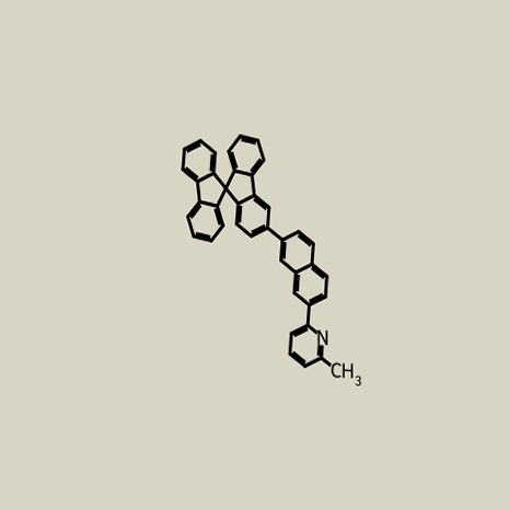 Cc1cccc(-c2ccc3ccc(-c4ccc5c(c4)-c4ccccc4C54c5ccccc5-c5ccccc54)cc3c2)n1